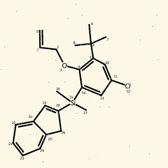 C=CCOc1c(C(C)(C)C)cc(Cl)cc1[Si](C)(C)C1=Cc2ccccc2C1